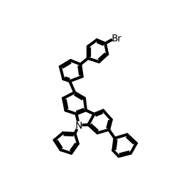 Brc1ccc(-c2cccc(-c3ccc4c(c3)c3ccc(-c5ccccc5)cc3n4-c3ccccc3)c2)cc1